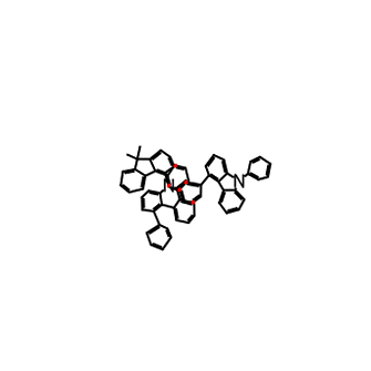 CC1(C)c2ccccc2-c2c(N(c3cccc(-c4cccc5c4c4ccccc4n5-c4ccccc4)c3)c3cccc(-c4ccccc4)c3-c3ccccc3-c3ccccc3)cccc21